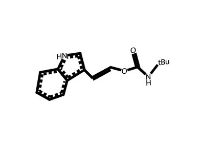 CC(C)(C)NC(=O)OC=Cc1c[nH]c2ccccc12